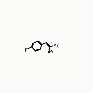 CC(=O)/C(=C/c1ccc(F)cc1)C(C)C